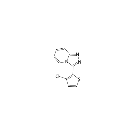 Clc1ccsc1-c1nnc2ccccn12